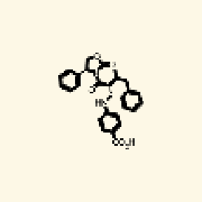 CC(Cc1ccccc1)[C@H](CNc1ccc(C(=O)O)cc1)C(=O)N1C(=O)OC[C@@H]1c1ccccc1